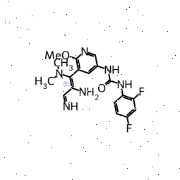 COc1ncc(NC(=O)Nc2ccc(F)cc2F)cc1/C(=C(\N)C=N)N(C)C